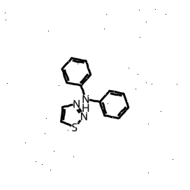 c1ccc(Nc2ccccc2)cc1.c1csnn1